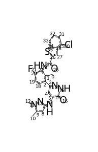 Cc1c(-c2cc(Nc3cc(C)n(C)n3)c(=O)[nH]n2)ccc(F)c1NC(=O)c1cc2c(Cl)cccc2s1